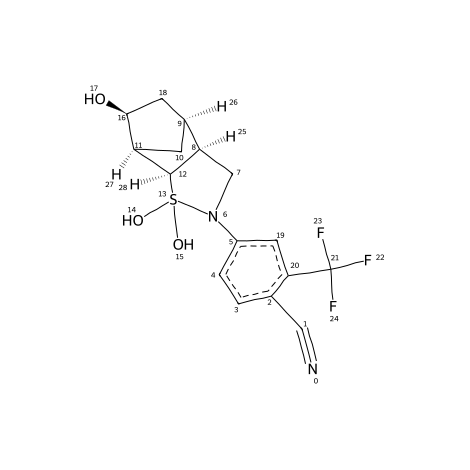 N#Cc1ccc(N2C[C@@H]3[C@H]4C[C@@H]([C@@H]3S2(O)O)[C@@H](O)C4)cc1C(F)(F)F